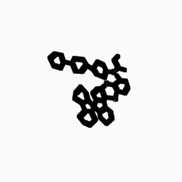 C/C=C(\C)N(c1ccc(-c2ccc(-c3ccccc3)cc2)cc1)c1cccc2c1Oc1ccc3c(c1O2)C1=C(CCC=C1)C31c2ccccc2-c2ccccc21